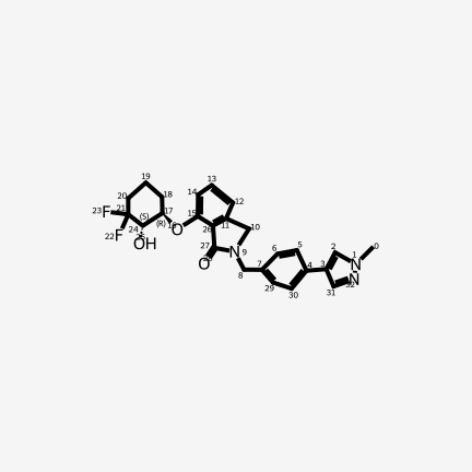 Cn1cc(-c2ccc(CN3Cc4cccc(O[C@@H]5CCCC(F)(F)[C@H]5O)c4C3=O)cc2)cn1